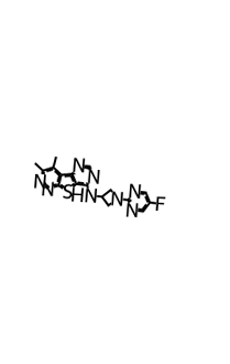 Cc1nnc2sc3c(NC4CN(c5ncc(F)cn5)C4)ncnc3c2c1C